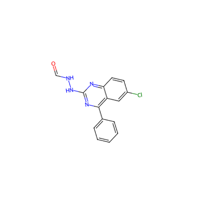 O=CNNc1nc(-c2ccccc2)c2cc(Cl)ccc2n1